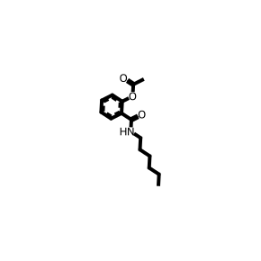 CCCCCCNC(=O)c1ccccc1OC(C)=O